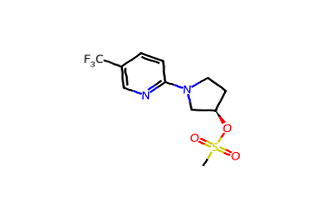 CS(=O)(=O)O[C@@H]1CCN(c2ccc(C(F)(F)F)cn2)C1